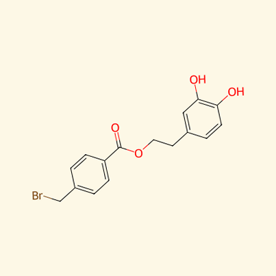 O=C(OCCc1ccc(O)c(O)c1)c1ccc(CBr)cc1